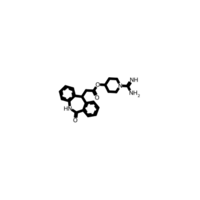 N=C(N)N1CCC(OC(=O)CC2c3ccccc3NC(=O)c3ccccc32)CC1